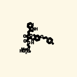 CC(=O)O.COCCOC(=O)C1=C(Nc2ccc(OCCN3CCN(C)CC3)cc2C)OC(=Cc2c[nH]c3ncccc23)C1=O